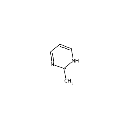 C[C]1N=CC=CN1